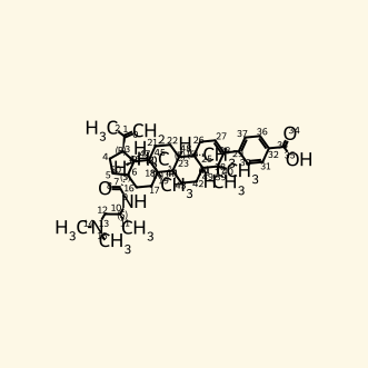 C=C(C)[C@@H]1CC[C@]2(C(=O)N[C@@H](C)CN(C)C)CC[C@]3(C)[C@H](CC[C@@H]4[C@@]5(C)CC=C(c6ccc(C(=O)O)cc6)C(C)(C)[C@@H]5CC[C@]43C)[C@@H]12